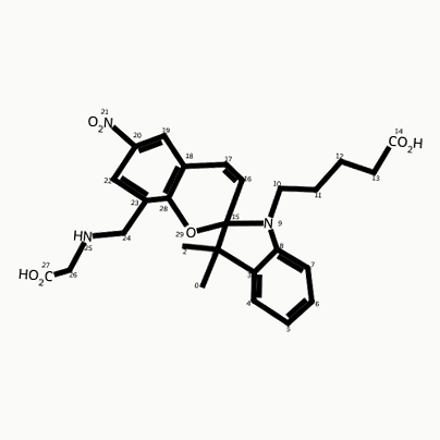 CC1(C)c2ccccc2N(CCCCC(=O)O)C12C=Cc1cc([N+](=O)[O-])cc(CNCC(=O)O)c1O2